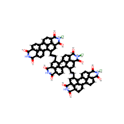 O=C1NC(=O)c2ccc3c4c(/C=C/c5cc6c7c(ccc8c9c(/C=C/c%10cc%11c%12c(ccc%13c%14ccc%15c%16c(ccc(c%10c%12%13)c%16%14)C(=O)N(Cl)C%15=O)C(=O)NC%11=O)cc%10c%11c(ccc(c5c78)c%119)C(=O)N(Cl)C%10=O)C(=O)NC6=O)cc5c6c(ccc(c7ccc1c2c73)c64)C(=O)N(Cl)C5=O